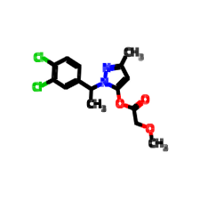 COCC(=O)Oc1cc(C)nn1C(C)c1ccc(Cl)c(Cl)c1